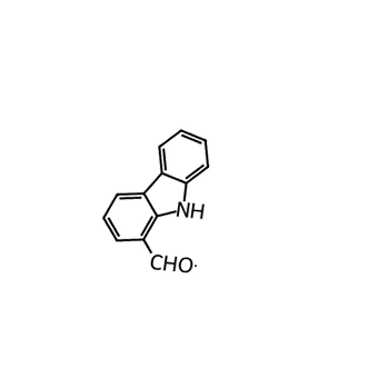 O=[C]c1cccc2c1[nH]c1ccccc12